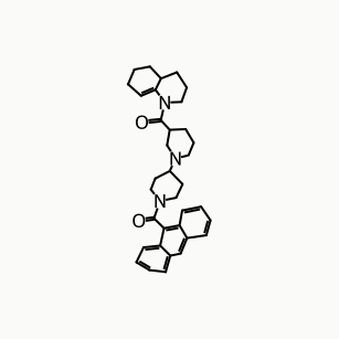 O=C(c1c2ccccc2cc2ccccc12)N1CCC(N2CCCC(C(=O)N3CCCC4CCCC=C43)C2)CC1